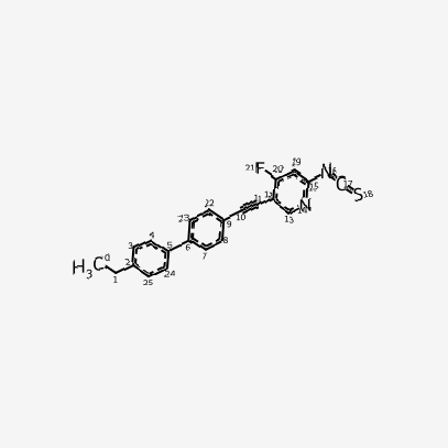 CCc1ccc(-c2ccc(C#Cc3cnc(N=C=S)cc3F)cc2)cc1